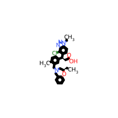 CC[C@@H]1CN(Cc2cc([C@H](CC(=O)O)c3ccc4c(nnn4CC)c3Cl)ccc2C)Cc2ccccc2O1